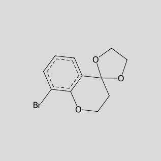 Brc1cccc2c1OCCC21OCCO1